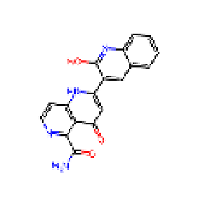 NC(=O)c1nccc2[nH]c(-c3cc4ccccc4nc3O)cc(=O)c12